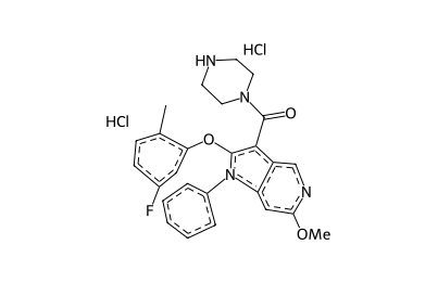 COc1cc2c(cn1)c(C(=O)N1CCNCC1)c(Oc1cc(F)ccc1C)n2-c1ccccc1.Cl.Cl